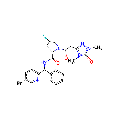 CC(C)c1ccc([C@@H](NC(=O)[C@@H]2C[C@@H](F)CN2C(=O)Cc2nn(C)c(=O)n2C)c2ccccc2)nc1